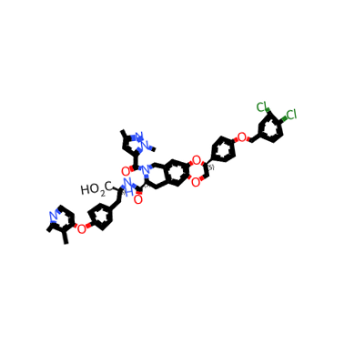 Cc1cc(C(=O)N2Cc3cc4c(cc3C[C@H]2C(=O)N[C@@H](Cc2ccc(Oc3ccnc(C)c3C)cc2)C(=O)O)OC[C@H](c2ccc(OCc3ccc(Cl)c(Cl)c3)cc2)O4)n(C)n1